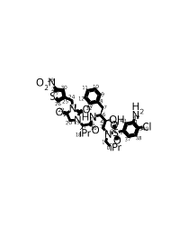 CC(C)CN(C[C@H](O)[C@H](Cc1ccccc1)NC(=O)[C@H](C(C)C)N1CC(=O)N(Cc2csc([N+](=O)[O-])c2)C1=O)S(=O)(=O)c1ccc(Cl)c(N)c1